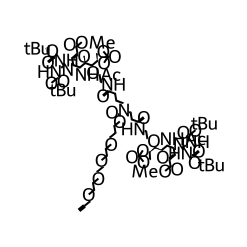 C#CCOCCOCCOCCOCCCOC(=O)N(CCCC(=O)NCCO[C@@H]([C@@H]1OC(C(=O)OC)=C[C@H](N=C(NC(=O)OC(C)(C)C)NC(=O)OC(C)(C)C)[C@H]1NC(C)=O)[C@H]1COC(=O)O1)CCC(=O)NCCOC([C@H]1COC(=O)O1)[C@@H]1OC(C(=O)OC)=CC(N=C(NC(=O)OC(C)(C)C)NC(=O)OC(C)(C)C)[C@H]1NC(C)=O